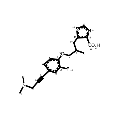 CC(COc1ccc(C#CCN(C)C)cc1F)Cc1scnc1C(=O)O